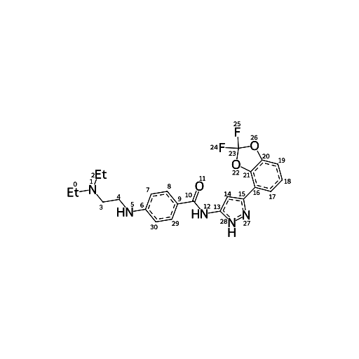 CCN(CC)CCNc1ccc(C(=O)Nc2cc(-c3cccc4c3OC(F)(F)O4)n[nH]2)cc1